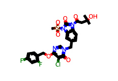 CC(C)(O)CC(=O)n1c(=O)n(S(C)(=O)=O)c2cc(Cn3cnc(OCc4ccc(F)cc4F)c(Cl)c3=O)ccc21